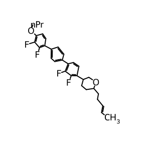 C/C=C/CCC1CCC(c2ccc(-c3ccc(-c4ccc(OCCC)c(F)c4F)cc3)c(F)c2F)CO1